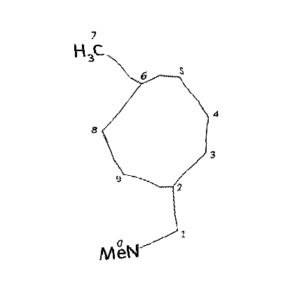 CNCC1CCCC(C)CC1